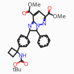 COC(=O)C1=CC(C(=O)OC)=NN2C1=NC(c1ccc(C3(NC(=O)OC(C)(C)C)CCC3)cc1)C2c1ccccc1